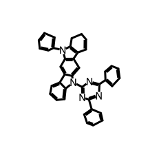 C1=Cc2c(n(-c3ccccc3)c3cc4c5ccccc5n(-c5nc(-c6ccccc6)nc(-c6ccccc6)n5)c4cc23)CC1